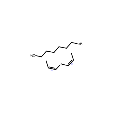 C/C=C\O/C=C\C.OCCCCCCO